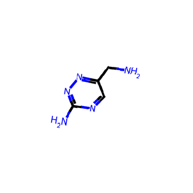 NCc1cnc(N)nn1